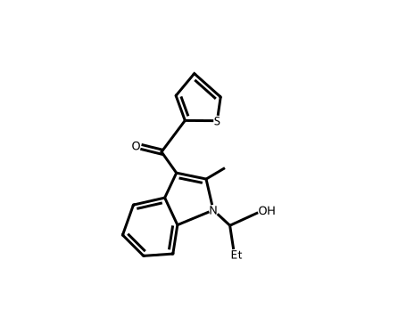 CCC(O)n1c(C)c(C(=O)c2cccs2)c2ccccc21